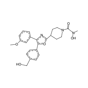 COc1cccc(-c2nc(C3CCN(C(=O)N(C)O)CC3)oc2-c2ccc(CO)cc2)c1